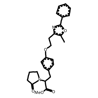 COC(=O)C(Cc1ccc(OCCc2nc(-c3ccccc3)oc2C)cc1)N1CCCC1=O